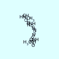 CNCC1=CCC=C(c2ccnc(Nc3ccc(N4CCN(CC5CCN(c6cccc(NC(CCC=O)C(=O)NC)c6)CC5)CC4)cc3)n2)C=C1C